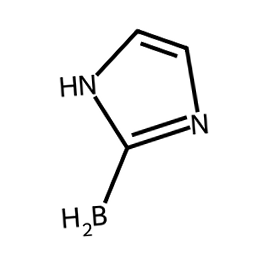 Bc1ncc[nH]1